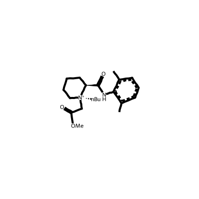 CCCC[N@+]1(CC(=O)OC)CCCC[C@H]1C(=O)Nc1c(C)cccc1C